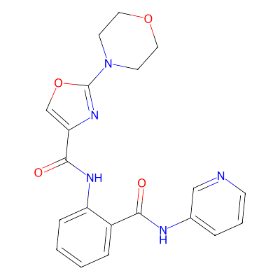 O=C(Nc1ccccc1C(=O)Nc1cccnc1)c1coc(N2CCOCC2)n1